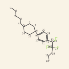 CCCCCC1CCC(c2ccc(C(F)C(F)(F)CCC)cc2)CC1